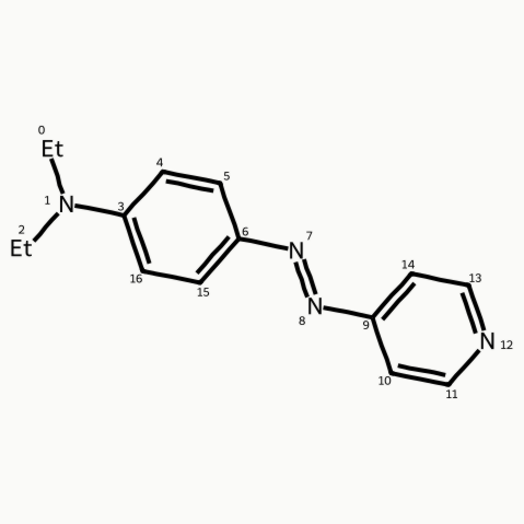 CCN(CC)c1ccc(N=Nc2ccncc2)cc1